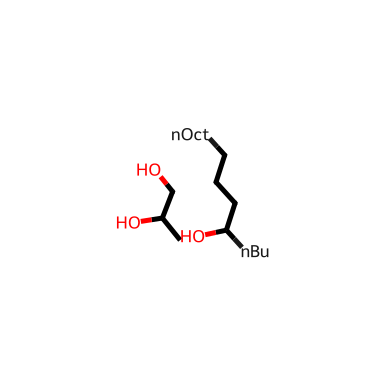 CC(O)CO.CCCCCCCCCCCC(O)CCCC